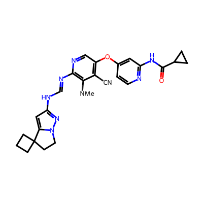 CNc1c(/N=C/Nc2cc3n(n2)CCC32CCC2)ncc(Oc2ccnc(NC(=O)C3CC3)c2)c1C#N